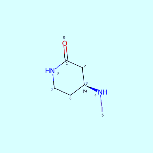 O=C1C[C@@H](NI)CCN1